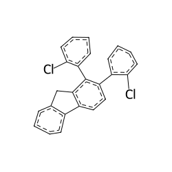 Clc1ccccc1-c1ccc2c(c1-c1ccccc1Cl)Cc1ccccc1-2